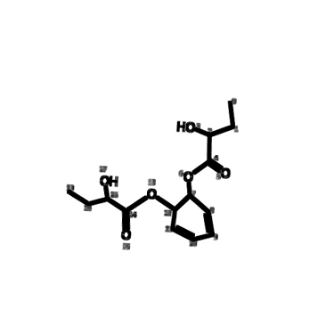 CCC(O)C(=O)OC1C=CC=CC1OC(=O)C(O)CC